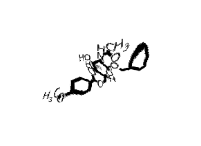 COc1ccc(C2OC[C@H]3O[C@H](OCc4ccccc4)[C@H](NC(C)=O)[C@@H](O)[C@H]3O2)cc1